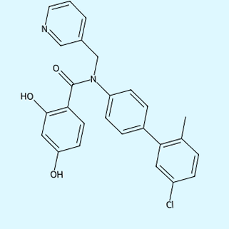 Cc1ccc(Cl)cc1-c1ccc(N(Cc2cccnc2)C(=O)c2ccc(O)cc2O)cc1